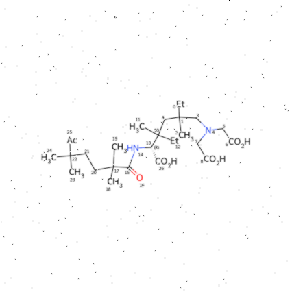 CCC(C)(CN(CC(=O)O)CC(=O)O)CC(C)(CC)[C@@H](NC(=O)C(C)(C)CCC(C)(C)C(C)=O)C(=O)O